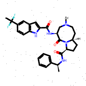 CC(=O)N1CC[C@H]2CC[C@@H](C(=O)N[C@@H](C)c3ccccc3)N2C(=O)[C@@H](NC(=O)c2cc3cc(C(C)(F)F)ccc3[nH]2)C1